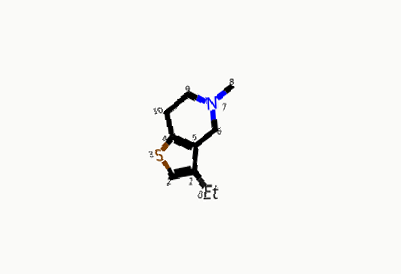 CCc1csc2c1CN(C)CC2